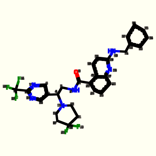 O=C(NCC(c1cnc(C(F)(F)F)nc1)N1CCC(F)(F)CC1)c1cccc2nc(NCc3ccccc3)ccc12